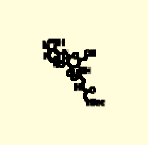 CCCCCCCCCCCC(=O)NCC(=O)N[C@@H]1[C@@H](O)[C@H](O)[C@@H](Nc2ncnc3nc[nH]c23)O[C@H]1CO